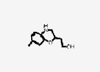 Cc1ccc2c(c1)OC(CCO)CN2